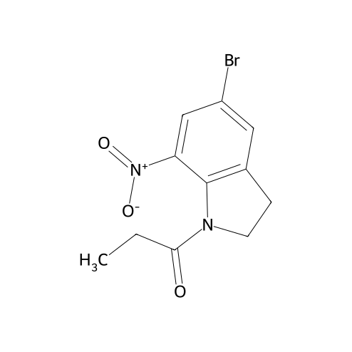 CCC(=O)N1CCc2cc(Br)cc([N+](=O)[O-])c21